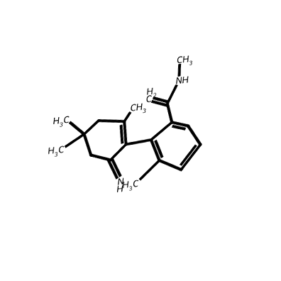 C=C(NC)c1cccc(C)c1C1=C(C)CC(C)(C)CC1=N